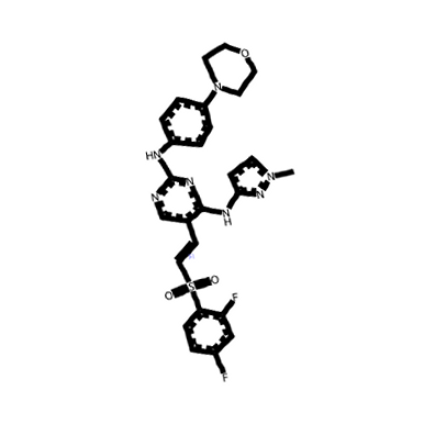 Cn1ccc(Nc2nc(Nc3ccc(N4CCOCC4)cc3)ncc2/C=C/S(=O)(=O)c2ccc(F)cc2F)n1